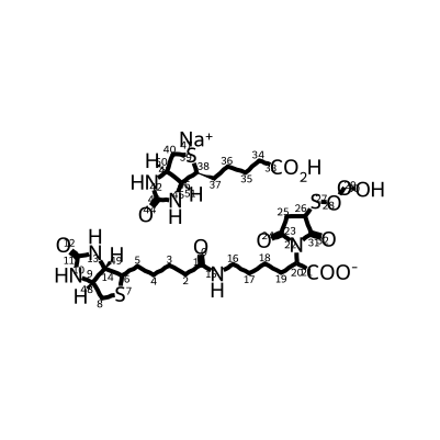 O=C(CCCCC1SC[C@@H]2NC(=O)N[C@H]12)NCCCCC(C(=O)[O-])N1C(=O)CC(SOOO)C1=O.O=C(O)CCCC[C@@H]1SC[C@@H]2NC(=O)N[C@@H]21.[Na+]